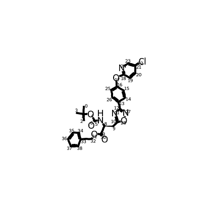 CC(C)(C)OC(=O)N[C@@H](Cc1nc(-c2ccc(Oc3ccc(Cl)cn3)cc2)no1)C(=O)OCc1ccccc1